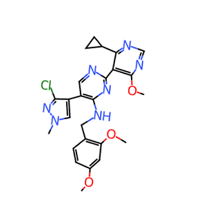 COc1ccc(CNc2nc(-c3c(OC)ncnc3C3CC3)ncc2-c2cn(C)nc2Cl)c(OC)c1